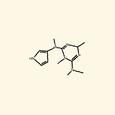 CC1N=C(N(C)C)N(C)C(N(C)c2cc[nH]c2)=N1